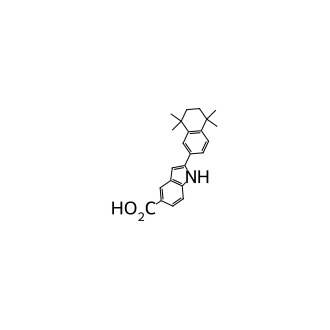 CC1(C)CCC(C)(C)c2cc(-c3cc4cc(C(=O)O)ccc4[nH]3)ccc21